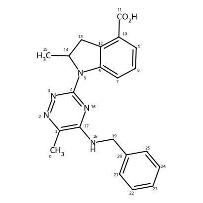 Cc1nnc(N2c3cccc(C(=O)O)c3CC2C)nc1NCc1ccccc1